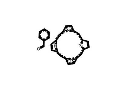 C1=Cc2cc3ccc(cc4nc(cc5ccc(cc1n2)[nH]5)C=C4)[nH]3.O=Cc1ccccc1